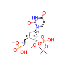 CO[C@H]1[C@@H](OP(=O)(O)OC(C)(C)C)[C@H](n2ccc(=O)[nH]c2=O)C[C@@H]1/C=C/P(=O)(O)OC